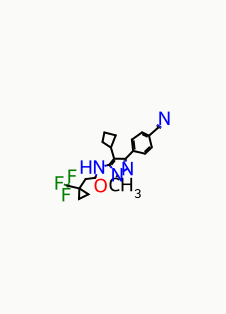 Cn1nc(-c2ccc(C#N)cc2)c(C2CCC2)c1NC(=O)CC1(C(F)(F)F)CC1